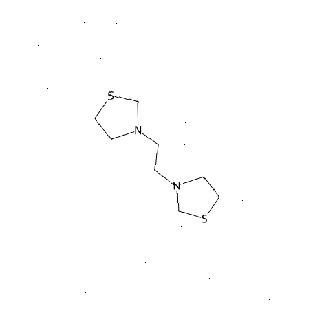 C1CN(CCN2CCSC2)CS1